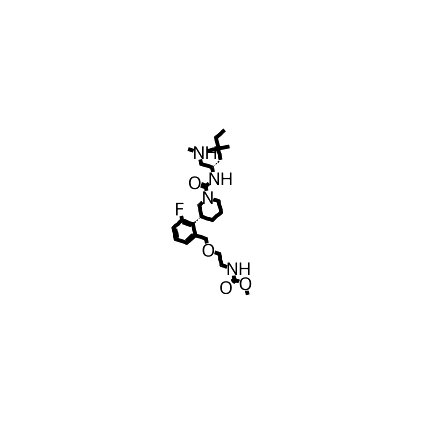 CCC(C)(C)C[C@@H](CNC)NC(=O)N1CCC[C@H](c2c(F)cccc2COCCNC(=O)OC)C1